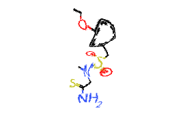 CCOc1cccc(CS(=O)(=O)N(C)CC(N)=S)c1